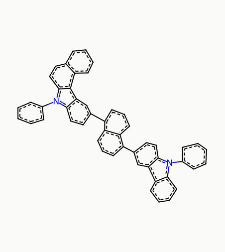 c1ccc(-n2c3ccccc3c3cc(-c4cccc5c(-c6ccc7c(c6)c6c8ccccc8ccc6n7-c6ccccc6)cccc45)ccc32)cc1